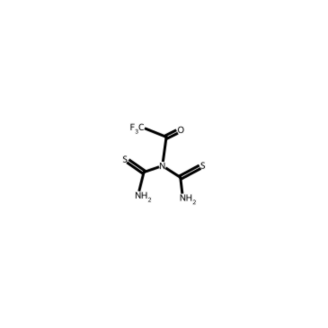 NC(=S)N(C(=O)C(F)(F)F)C(N)=S